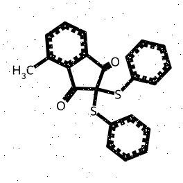 Cc1cccc2c1C(=O)C(Sc1ccccc1)(Sc1ccccc1)C2=O